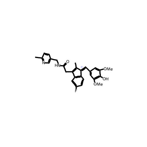 COc1cc(/C=C2/C(C)=C(CC(=O)NCc3ccc(C)nc3)c3cc(F)ccc32)cc(OC)c1O